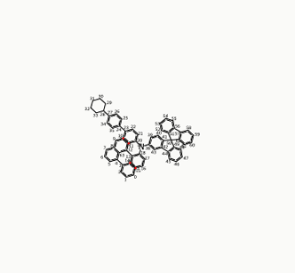 c1ccc(-c2cccc3cccc(-c4ccccc4N(c4ccc(-c5ccc(C6CCCCC6)cc5)cc4)c4ccc5c(c4)-c4ccccc4C54c5ccccc5-c5ccccc54)c23)cc1